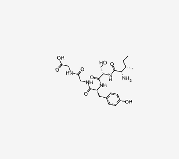 CC[C@H](C)[C@H](N)C(=O)N[C@@H](CO)C(=O)N[C@@H](Cc1ccc(O)cc1)C(=O)NCC(=O)NCC(=O)O